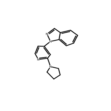 c1ccc2c(c1)cnn2-c1ccnc(N2CCCC2)c1